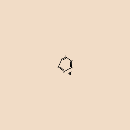 I.c1ccccc1